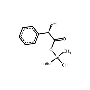 CCCC[Si](C)(C)OC(=O)[C@H](O)c1ccccc1